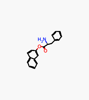 N[C@@H](Cc1ccccc1)C(=O)Oc1ccc2ccccc2c1